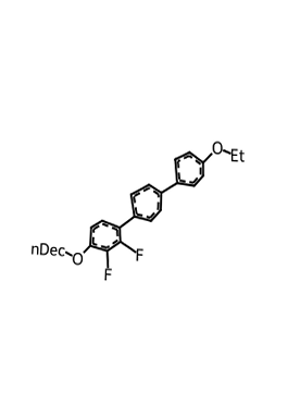 CCCCCCCCCCOc1ccc(-c2ccc(-c3ccc(OCC)cc3)cc2)c(F)c1F